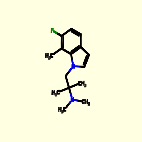 Cc1c(F)ccc2ccn(CC(C)(C)N(C)C)c12